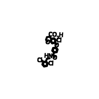 O=C(NCCc1c(Cl)cccc1Cl)c1ccc(Oc2cc3c(cc2Cl)C(C(=O)O)CCO3)cc1